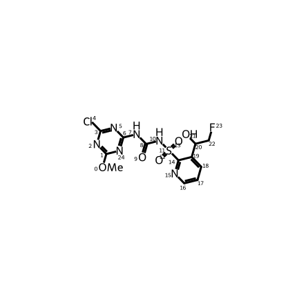 COc1nc(Cl)nc(NC(=O)NS(=O)(=O)c2ncccc2C(O)CF)n1